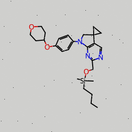 CCCC[Si](C)(C)OCc1ncc2c(n1)N(c1ccc(OC3CCOCC3)cc1)CC21CC1